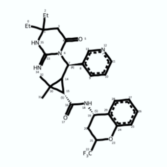 CCC1(CC)CC(=O)N([C@@H](c2cccnc2)C2[C@H](C(=O)N[C@H]3CC(C(F)(F)F)Oc4ccccc43)C2(C)C)C(=N)N1